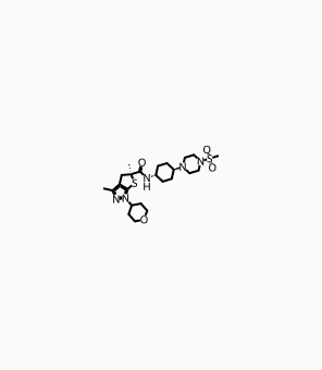 Cc1nn(C2CCOCC2)c2c1C[C@@](C)(C(=O)N[C@H]1CC[C@H](N3CCN(S(C)(=O)=O)CC3)CC1)S2